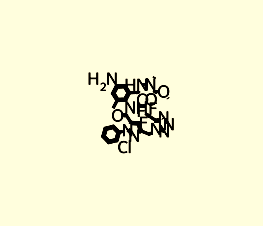 COC(=O)N(C)NC(=O)c1cc(N)cc(C)c1NC(=O)c1cc(Cn2nnnc2C(F)(F)F)nn1-c1ccccc1Cl